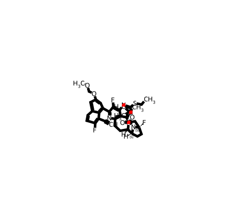 C#Cc1c(F)ccc2cc(OCOC)cc(-c3nc4c5c(nc(SCC)nc5c3F)N3C[C@@]5(F)CC[C@@H]([C@H]3CC4)N5C(=O)OC(C)(C)C)c12